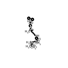 CN(CCN1CCC(OC(=O)Nc2ccccc2-c2ccccc2)CC1)C(=O)CCCCCNc1ccc(C(=O)N(C)CCCN(C)C(=O)OC(C)(C)C)c(Cl)c1